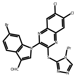 CC(C)n1cnnc1Sc1nc2cc(Cl)c(Cl)cc2nc1-n1cc(C=O)c2ccc(Br)cc21